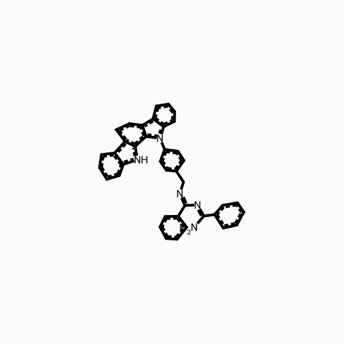 N/C(=N\C(=N/Cc1ccc(-n2c3ccccc3c3ccc4c5ccccc5[nH]c4c32)cc1)c1ccccc1)c1ccccc1